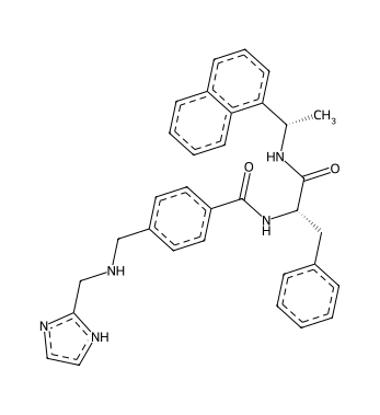 C[C@H](NC(=O)[C@H](Cc1ccccc1)NC(=O)c1ccc(CNCc2ncc[nH]2)cc1)c1cccc2ccccc12